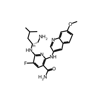 COc1ccc2cc(Nc3nc(N[C@@H](CN)CC(C)C)c(F)cc3C(N)=O)cnc2c1